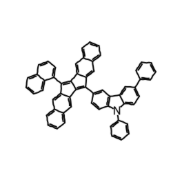 c1ccc(-c2ccc3c(c2)c2cc(C4=C5C(=C(c6cccc7ccccc67)c6cc7ccccc7cc65)c5cc6ccccc6cc54)ccc2n3-c2ccccc2)cc1